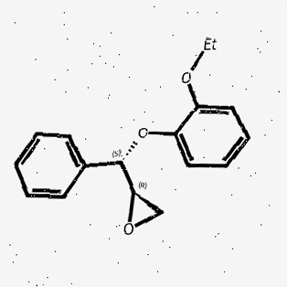 CCOc1ccccc1O[C@@H](c1ccccc1)[C@H]1CO1